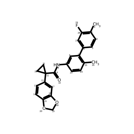 Cc1ccc(-c2cc(NC(=O)C3(c4ccc5c(c4)OCO5)CC3)ccc2C)cc1F